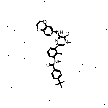 Cc1c(NC(=O)c2ccc(C(C)(C)C)cc2)cccc1-c1cn(C)c(=O)c(Nc2ccc3c(c2)OCCO3)n1